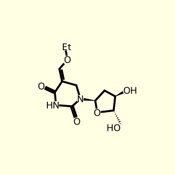 CCOC=C1CN([C@H]2C[C@@H](O)[C@H](CO)O2)C(=O)NC1=O